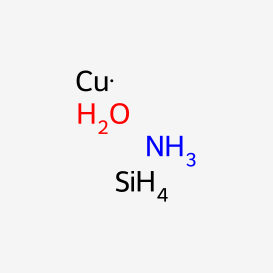 N.O.[Cu].[SiH4]